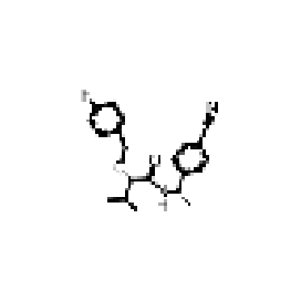 CC(C)C(OCc1ccc(F)cc1)C(=O)N[C@@H](C)c1ccc(C#N)cc1